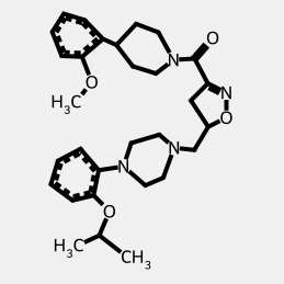 COc1ccccc1C1CCN(C(=O)C2=NOC(CN3CCN(c4ccccc4OC(C)C)CC3)C2)CC1